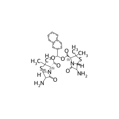 CC1(C)S[C@@H]2C(N)C(=O)N2[C@H]1C(=O)OC(OC(=O)[C@@H]1N2C(=O)C(N)[C@H]2SC1(C)C)c1ccc2ccccc2c1